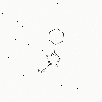 Cc1nnc(C2CCCCC2)s1